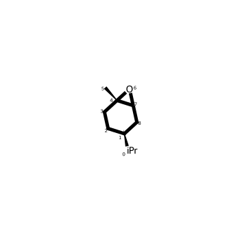 CC(C)[C@H]1CC[C@]2(C)OC2C1